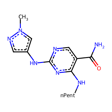 CCCCCNc1nc(Nc2cnn(C)c2)ncc1C(N)=O